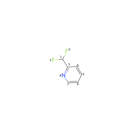 FC(F)c1[c]cccn1